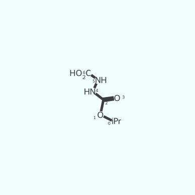 CC(C)OC(=O)NNC(=O)O